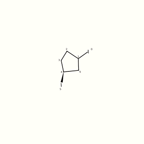 IC1CC[C@H](I)C1